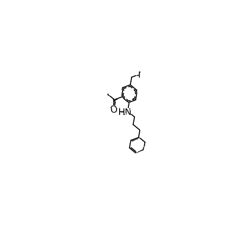 CC(=O)c1cc(CI)ccc1NCCCC1=CC=CCC1